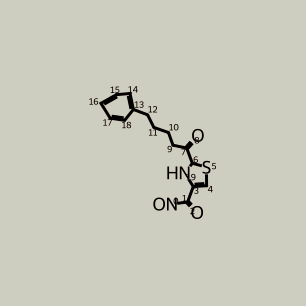 O=NC(=O)C1=CSC(C(=O)CCCCc2ccccc2)N1